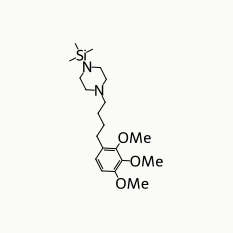 COc1ccc(CCCCN2CCN([Si](C)(C)C)CC2)c(OC)c1OC